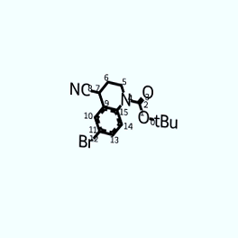 CC(C)(C)OC(=O)N1CCC(C#N)c2cc(Br)ccc21